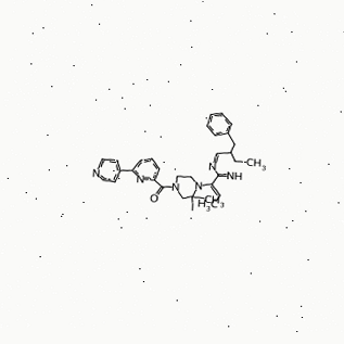 CC=C(C(=N)/N=C\C(CC)Cc1ccccc1)N1CCN(C(=O)c2cccc(-c3ccncc3)n2)CC1(C)I